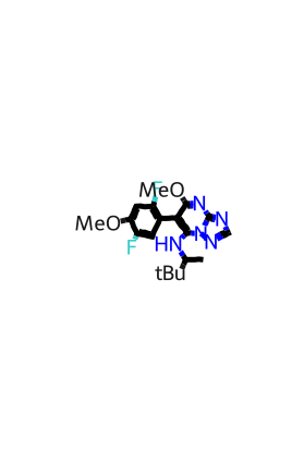 COc1cc(F)c(-c2c(OC)nc3ncnn3c2NC(C)C(C)(C)C)cc1F